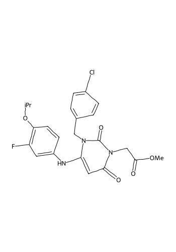 COC(=O)Cn1c(=O)cc(Nc2ccc(OC(C)C)c(F)c2)n(Cc2ccc(Cl)cc2)c1=O